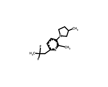 Cc1nc(CC(C)(F)F)ccc1N1CCC(C)C1